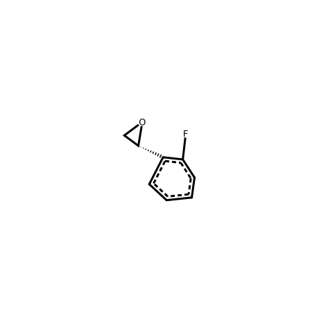 Fc1ccccc1[C@@H]1CO1